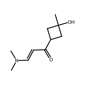 CN(C)/C=C/C(=O)C1CC(C)(O)C1